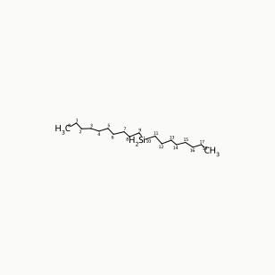 CCCCCCCCCC[SiH2]CCCCCCCC